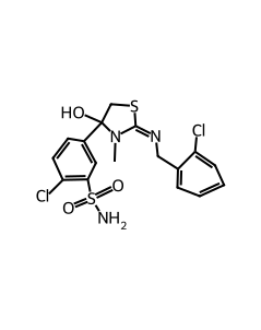 CN1C(=NCc2ccccc2Cl)SCC1(O)c1ccc(Cl)c(S(N)(=O)=O)c1